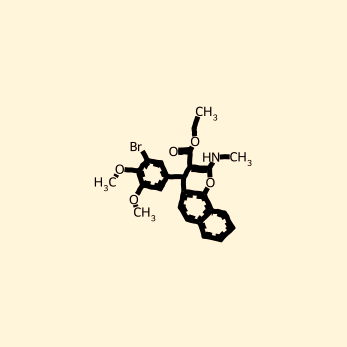 CCOC(=O)C1=C(NC)Oc2c(ccc3ccccc23)C1c1cc(Br)c(OC)c(OC)c1